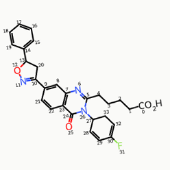 O=C(O)CCCCc1nc2cc(C3=NOC(c4ccccc4)C3)ccc2c(=O)n1C1C=CC(F)=CC1